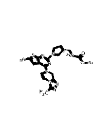 CCCc1cc2c(N3CCn4c(nnc4C(F)(F)F)C3)nc(N3CC[C@@H](CNC(=O)OC(C)(C)C)C3)nc2s1